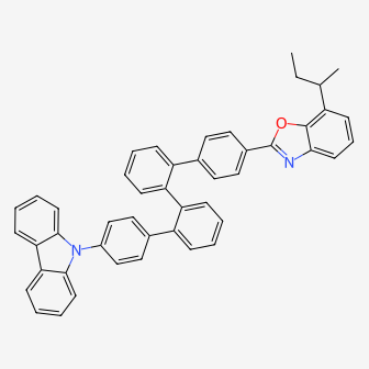 CCC(C)c1cccc2nc(-c3ccc(-c4ccccc4-c4ccccc4-c4ccc(-n5c6ccccc6c6ccccc65)cc4)cc3)oc12